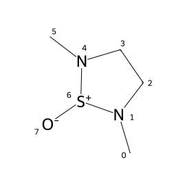 CN1CCN(C)[S+]1[O-]